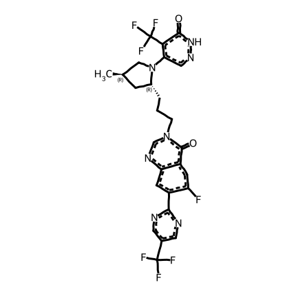 C[C@@H]1C[C@@H](CCCn2cnc3cc(-c4ncc(C(F)(F)F)cn4)c(F)cc3c2=O)N(c2cn[nH]c(=O)c2C(F)(F)F)C1